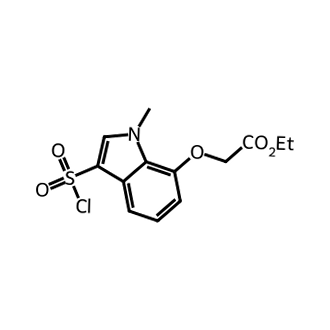 CCOC(=O)COc1cccc2c(S(=O)(=O)Cl)cn(C)c12